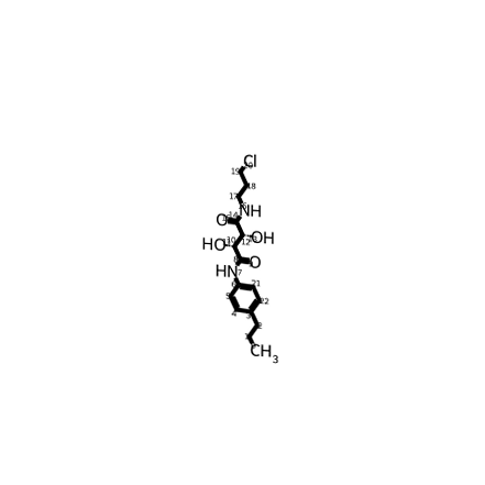 CCCc1ccc(NC(=O)[C@H](O)[C@@H](O)C(=O)NCCCCl)cc1